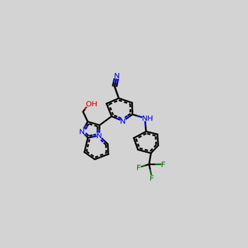 N#Cc1cc(Nc2ccc(C(F)(F)F)cc2)nc(-c2c(CO)nc3ccccn23)c1